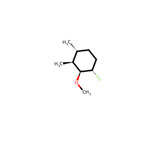 CO[C@H]1[C@@H](C)[C@H](C)CC[C@@H]1F